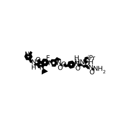 Cc1cc(CNCc2cn(C3CC3)c3cc(N4CCC5C(CCN5C(=O)OCc5ccc(NC(=O)[C@H](CCCNC(N)=O)NC(=O)CC(C)C)cc5)C4)c(F)cc3c2=O)ccn1